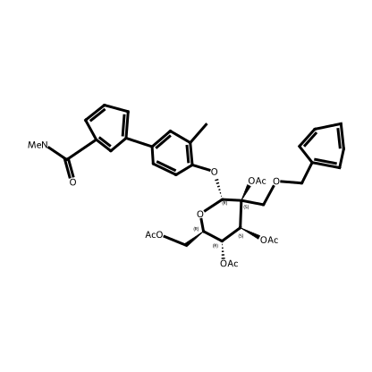 CNC(=O)c1cccc(-c2ccc(O[C@H]3O[C@H](COC(C)=O)[C@@H](OC(C)=O)[C@H](OC(C)=O)[C@]3(COCc3ccccc3)OC(C)=O)c(C)c2)c1